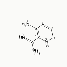 BC(=N)C1=C(N)C=CCN1